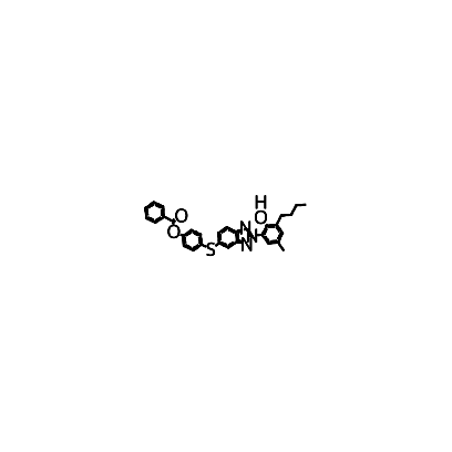 CCCCc1cc(C)cc(-n2nc3ccc(Sc4ccc(OC(=O)c5ccccc5)cc4)cc3n2)c1O